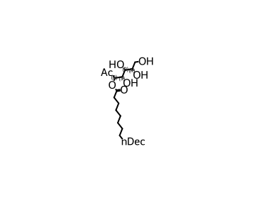 CCCCCCCCCCCCCCCCCC(=O)O[C@@H](C(C)=O)[C@@H](O)[C@H](O)[C@H](O)CO